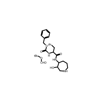 CC(C)(C)OC=O.CC(C)CC(NC(=O)OCc1ccccc1)C(=O)NC1CCCNCC1O